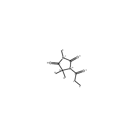 CCC(=O)N1C(=O)N(C)C(=O)C1(C)C